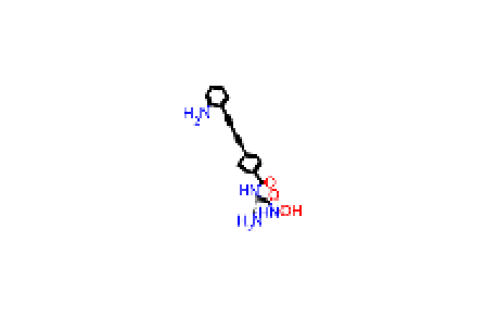 NC[C@H](NC(=O)c1ccc(C#CC#Cc2ccccc2N)cc1)C(=O)NO